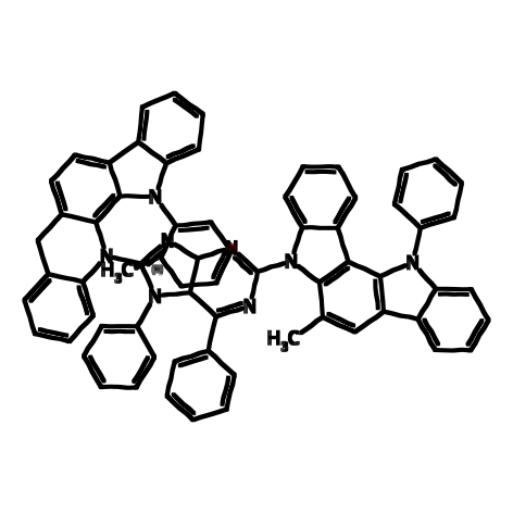 Cc1cc2c3ccccc3n(-c3ccccc3)c2c2c3ccccc3n(C3=NC4N=C(N5c6ccccc6Cc6ccc7c8ccccc8n(C8=CC=CC[C@H]8C)c7c65)N(c5ccccc5)C4C(c4ccccc4)=N3)c12